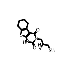 O=c1[nH]c2sc3c(c2c(=O)n1CC(S)CS)CCCC3